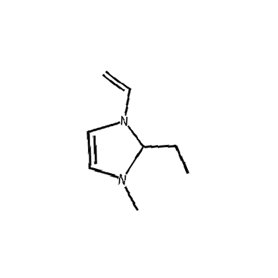 C=CN1C=CN(C)C1CC